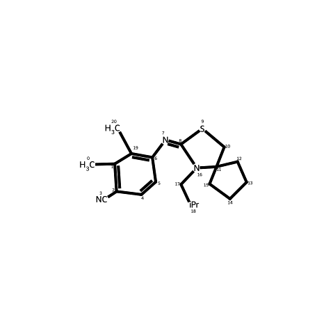 Cc1c(C#N)ccc(/N=C2/SCC3(CCCC3)N2CC(C)C)c1C